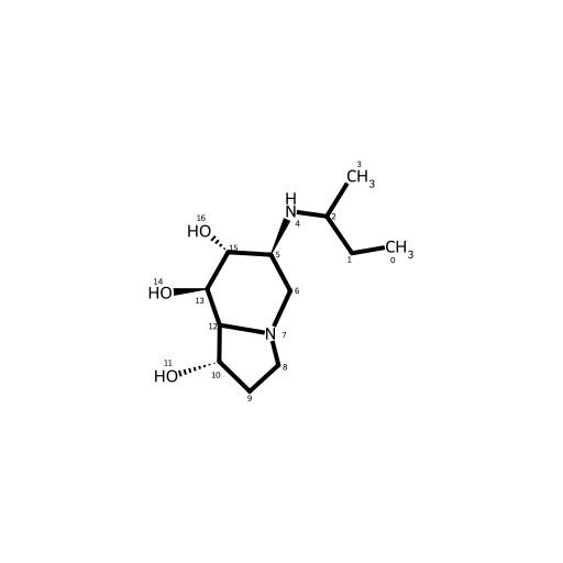 CCC(C)N[C@H]1CN2CC[C@H](O)C2[C@@H](O)[C@@H]1O